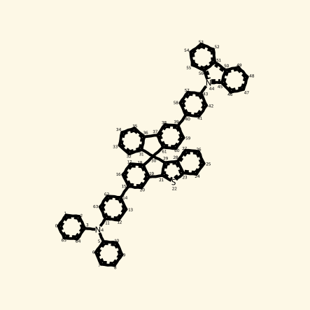 c1ccc(N(c2ccccc2)c2ccc(-c3ccc4c(c3)-c3sc5ccccc5c3C43c4ccccc4-c4cc(-c5ccc(-n6c7ccccc7c7ccccc76)cc5)ccc43)cc2)cc1